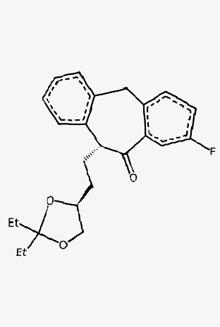 CCC1(CC)OC[C@H](CC[C@H]2C(=O)c3cc(F)ccc3Cc3ccccc32)O1